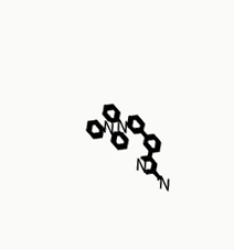 N#Cc1cncc(-c2cccc(-c3cccc(N4c5ccccc5N(c5ccccc5)c5ccccc54)c3)c2)c1